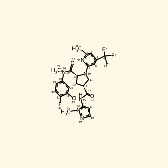 Cc1cc(C(F)(F)F)cc(N2C[C@@H](C(=O)Nc3ccnn3C)C[C@H]2C(=O)N(C)c2ccc(F)c(Cl)c2)n1